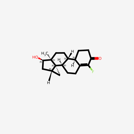 C[C@]12CC[C@H]3[C@@H](CCC4=C(F)C(=O)CC[C@@H]43)[C@]13C[C@@H]3C[C@H]2O